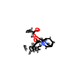 CN1CC2CCC(C1OC(=O)C(C)(C)C)N(C(=O)CC(F)(F)F)C2